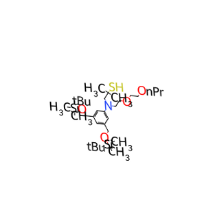 CCCOCCOCCN(CC(C)(C)S)c1cc(CO[Si](C)(C)C(C)(C)C)cc(CO[Si](C)(C)C(C)(C)C)c1